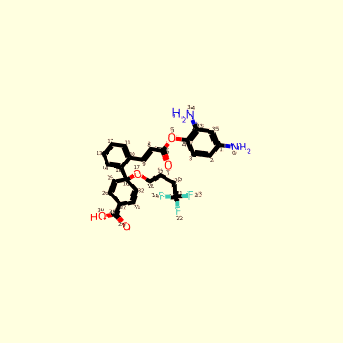 Nc1ccc(OC(=O)/C=C/c2ccccc2C2(OCCCC(F)(F)F)C=CC(C(=O)O)C=C2)c(N)c1